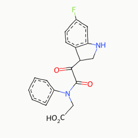 O=C(O)CN(C(=O)C(=O)C1CNc2cc(F)ccc21)c1ccccc1